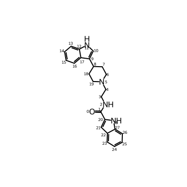 O=C(NCCN1CCC(c2c[nH]c3ccccc23)CC1)c1cc2ccccc2[nH]1